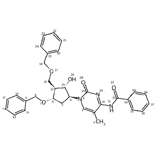 Cc1cn([C@H]2C[C@H](OCc3ccccc3)[C@@H](COCc3ccccc3)[C@@H]2O)c(=O)nc1NC(=O)c1ccccc1